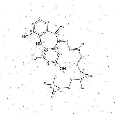 C/C(=C\CN1C(=O)c2cccc(O)c2Nc2c(O)cc(O)cc21)CCC1OC1(C)CCC1OC1(C)C